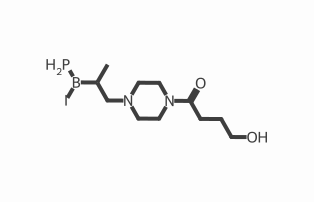 CC(CN1CCN(C(=O)CCCO)CC1)B(P)I